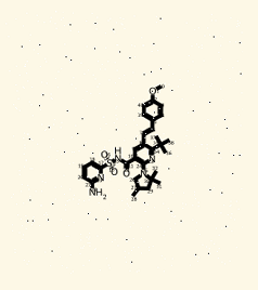 COc1ccc(C=Cc2cc(C(=O)NS(=O)(=O)c3cccc(N)n3)c(N3CC(C)CC3(C)C)nc2C(C)(C)C)cc1